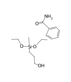 CCO[Si](C)(CCCO)OCC.NC(=O)c1ccccc1